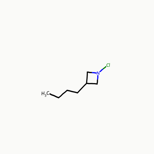 CCCCC1CN(Cl)C1